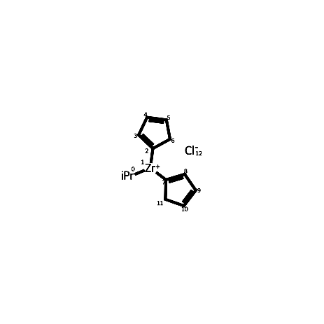 C[CH](C)[Zr+]([C]1=CC=CC1)[C]1=CC=CC1.[Cl-]